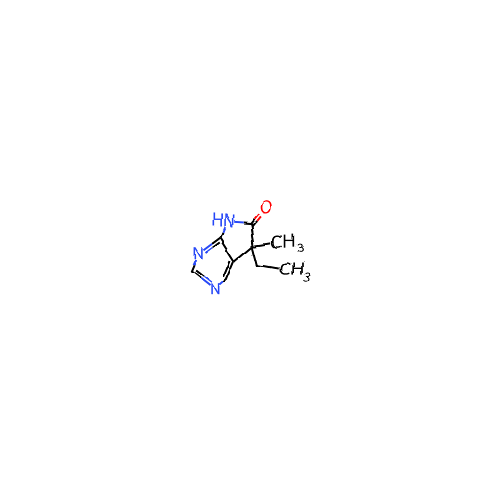 CCC1(C)C(=O)Nc2ncncc21